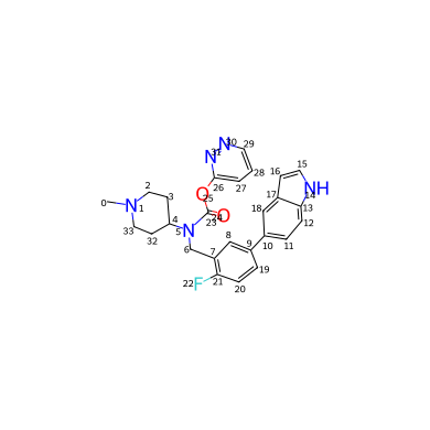 CN1CCC(N(Cc2cc(-c3ccc4[nH]ccc4c3)ccc2F)C(=O)Oc2cccnn2)CC1